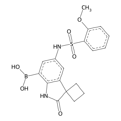 COc1ccccc1S(=O)(=O)Nc1cc(B(O)O)c2c(c1)C1(CCC1)C(=O)N2